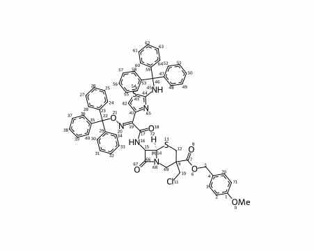 COc1ccc(COC(=O)C2(CCl)CS[C@@H]3C(NC(=O)C(=NOC(c4ccccc4)(c4ccccc4)c4ccccc4)c4csc(NC(c5ccccc5)(c5ccccc5)c5ccccc5)n4)C(=O)N3C2)cc1